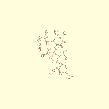 COc1ncc(-c2cc3c(n2C(C)C)C(c2ccc(Cl)c(F)c2)N(c2cc(Cl)c[nH]c2=O)C3=O)c(OC)n1